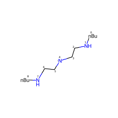 CCCCNCC[N]CCNCCCC